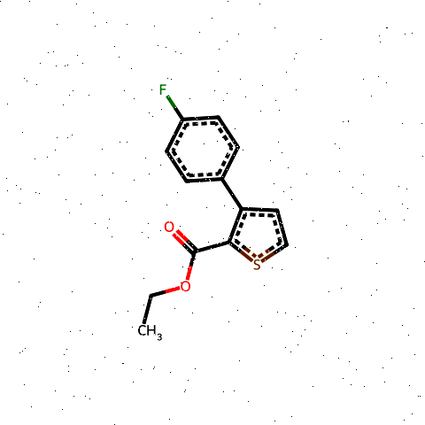 CCOC(=O)c1sccc1-c1ccc(F)cc1